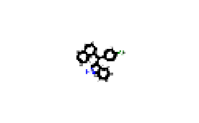 Clc1ccc(C(c2cccc3ccccc23)c2c[nH]c3ccccc23)cc1